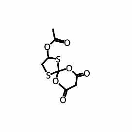 CC(=O)OC1CSC2(OC(=O)CC(=O)O2)S1